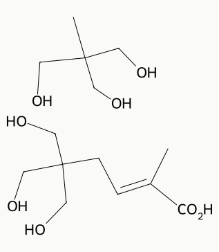 CC(=CCC(CO)(CO)CO)C(=O)O.CC(CO)(CO)CO